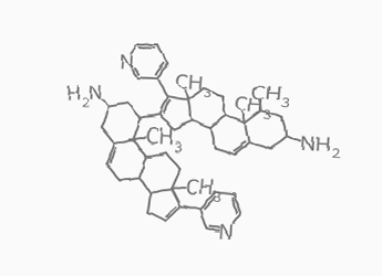 CC1CC(N)CC2=CCC3C4CC(C5CC(N)CC6=CCC7C8CC=C(c9cccnc9)C8(C)CCC7C65C)=C(c5cccnc5)C4(C)CCC3C21C